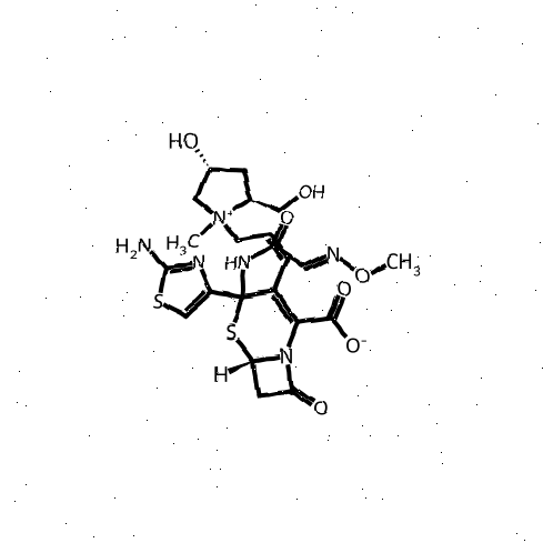 CON=CC(=O)NC1(c2csc(N)n2)S[C@H]2CC(=O)N2C(C(=O)[O-])=C1/C=C\C[N+]1(C)C[C@H](O)C[C@H]1CO